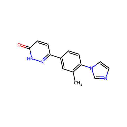 Cc1cc(-c2ccc(=O)[nH]n2)ccc1-n1ccnc1